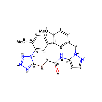 COc1ccc(Cn2nccc2NC(=O)CSc2nnnn2-c2ccccc2OC)cc1